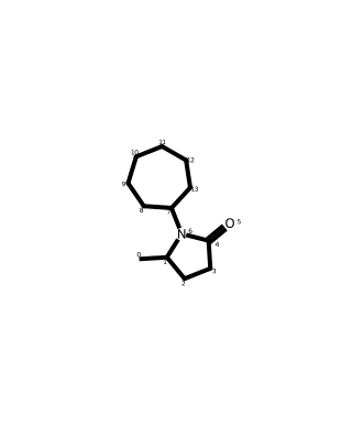 CC1CCC(=O)N1C1CCCCCC1